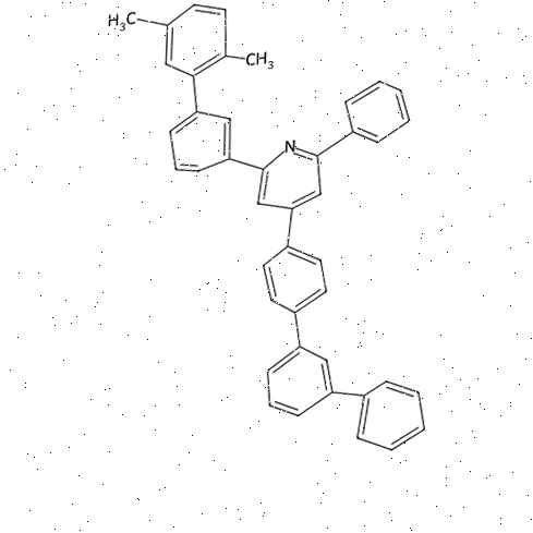 Cc1ccc(C)c(-c2cccc(-c3cc(-c4ccc(-c5cccc(-c6ccccc6)c5)cc4)cc(-c4ccccc4)n3)c2)c1